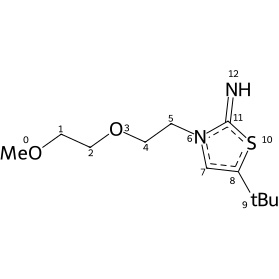 COCCOCCn1cc(C(C)(C)C)sc1=N